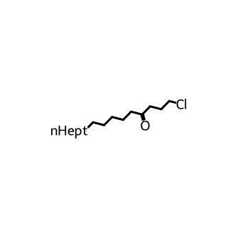 CCCCCCCCCCCCC(=O)CCCCl